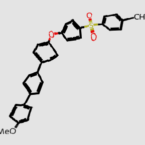 COc1ccc(-c2ccc(-c3ccc(Oc4ccc(S(=O)(=O)c5ccc(C)cc5)cc4)cc3)cc2)cc1